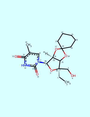 CC[C@]1(CO)O[C@@H](n2cc(C)c(=O)[nH]c2=O)[C@H]2OC3(CCCCC3)OC21